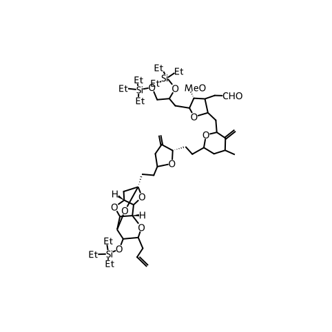 C=CCC1O[C@@H]2C3O[C@@H]4C[C@](CCC5CC(=C)[C@H](CCC6CC(C)C(=C)C(CC7OC(CC(CO[Si](CC)(CC)CC)O[Si](CC)(CC)CC)[C@H](OC)C7CC=O)O6)O5)(OC3C1O[Si](CC)(CC)CC)OC24